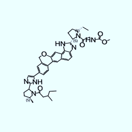 CCC(C)CC(=O)N1C(c2ncc(-c3ccc4c(c3)COc3cc5c(ccc6nc([C@@H]7CC[C@H](CC)N7C(=O)CNC(=O)OC)[nH]c65)cc3-4)[nH]2)CC[C@@H]1C